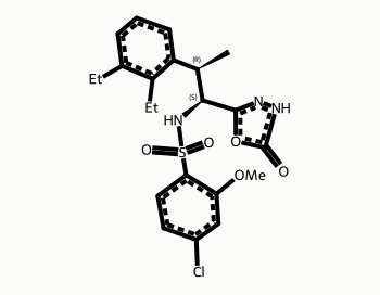 CCc1cccc([C@@H](C)[C@H](NS(=O)(=O)c2ccc(Cl)cc2OC)c2n[nH]c(=O)o2)c1CC